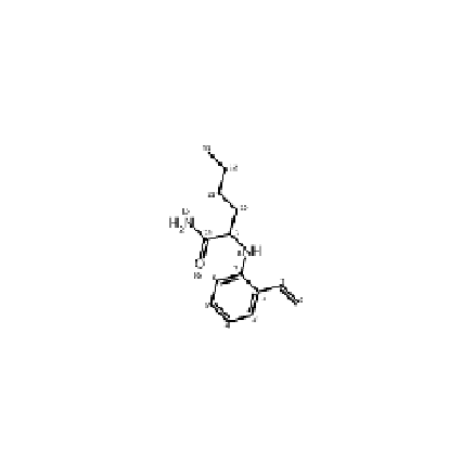 C=Cc1ccccc1NC(CCCC)C(N)=O